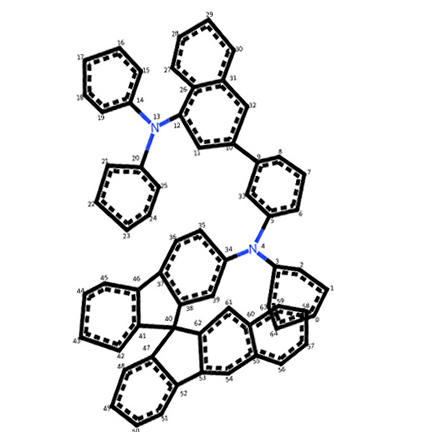 c1ccc(N(c2cccc(-c3cc(N(c4ccccc4)c4ccccc4)c4ccccc4c3)c2)c2ccc3c(c2)C2(c4ccccc4-3)c3ccccc3-c3cc4ccccc4cc32)cc1